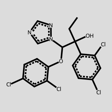 CCC(O)(c1ccc(Cl)cc1Cl)C(Oc1ccc(Cl)cc1Cl)n1cncn1